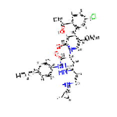 CCC(=O)c1ccc(Cl)cc1-c1cc(=O)n(C(CC(=N)/C=C\NC2CC2)C(=O)Nc2ccc(C(=O)O)cc2)cc1OC